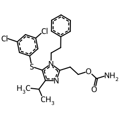 CC(C)c1nc(CCOC(N)=O)n(CCc2ccccc2)c1Sc1cc(Cl)cc(Cl)c1